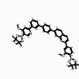 COc1cc(-c2ccc3ccc(-c4ccc(-c5cccc(-c6cc(OC)c(B7OC(C)(C)C(C)(C)O7)cn6)c5)cc4)cc3n2)ccc1B1OC(C)(C)C(C)(C)O1